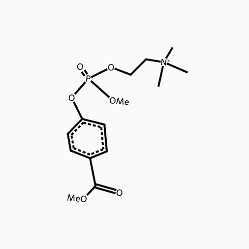 COC(=O)c1ccc(OP(=O)(OC)OCC[N+](C)(C)C)cc1